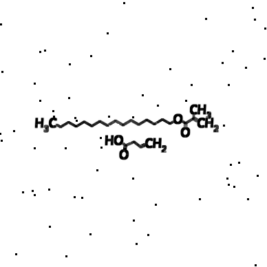 C=C(C)C(=O)OCCCCCCCCCCCCCCCC.C=CCC(=O)O